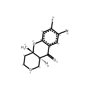 C[C@]12CCOC[C@@H]1C(=O)c1cc(Br)c(F)cc1O2